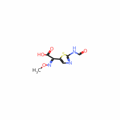 CON=C(C(=O)O)c1cnc(NC=O)s1